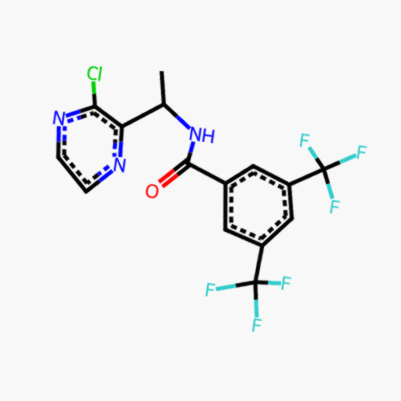 CC(NC(=O)c1cc(C(F)(F)F)cc(C(F)(F)F)c1)c1nccnc1Cl